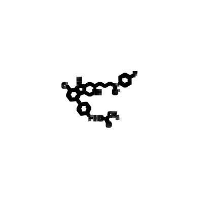 CC(=O)O.[O-][S+](CCCC1Cc2[nH]c3c(Cl)ccc(-c4ccc(F)cc4)c3c2CN1)c1ccc(F)cc1